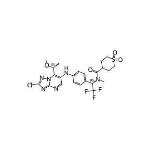 CO[C@@H](C)c1c(Nc2ccc([C@@H](N(C)C(=O)C3CCS(=O)(=O)CC3)C(F)(F)F)cc2)cnc2nc(Cl)nn12